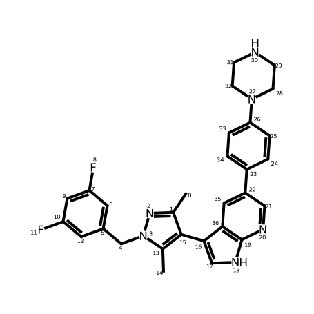 Cc1nn(Cc2cc(F)cc(F)c2)c(C)c1-c1c[nH]c2ncc(-c3ccc(N4CCNCC4)cc3)cc12